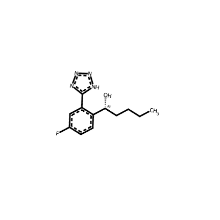 CCCC[C@@H](O)c1ccc(F)cc1-c1nnn[nH]1